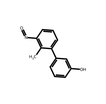 Cc1c(N=O)cccc1-c1cccc(O)c1